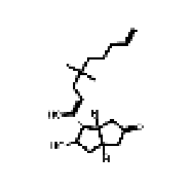 C=CCCCC(C)(C)CC=C(O)[C@@H]1[C@@H]2CC(=O)C[C@@H]2C[C@H]1O